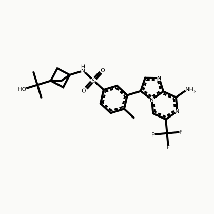 Cc1ccc(S(=O)(=O)NC23CC(C(C)(C)O)(C2)C3)cc1-c1cnc2c(N)nc(C(F)(F)F)cn12